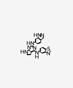 c1cc2c(Nc3ccc4scnc4c3)nc(Nc3ccc4cn[nH]c4c3)nc2[nH]1